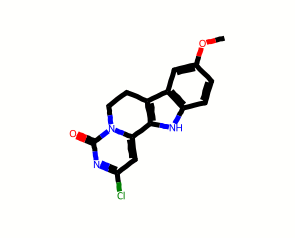 COc1ccc2[nH]c3c(c2c1)CCn1c-3cc(Cl)nc1=O